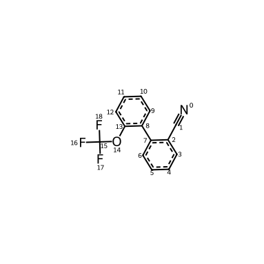 N#Cc1ccccc1-c1ccccc1OC(F)(F)F